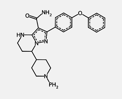 NC(=O)c1c(-c2ccc(Oc3ccccc3)cc2)nn2c1NCCC2C1CCN(P)CC1